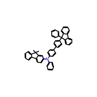 CC1(C)c2ccccc2-c2ccc(N(c3ccccc3)c3ccc(-c4ccc(C5(c6ccccc6)c6ccccc6-c6ccccc65)cc4)cc3)cc21